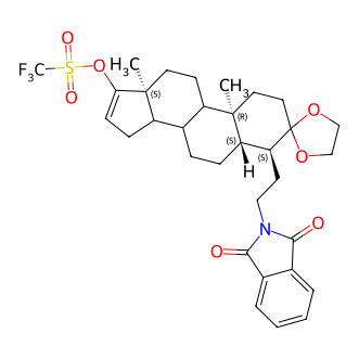 C[C@]12CCC3C(CC[C@H]4[C@H](CCN5C(=O)c6ccccc6C5=O)C5(CC[C@]34C)OCCO5)C1CC=C2OS(=O)(=O)C(F)(F)F